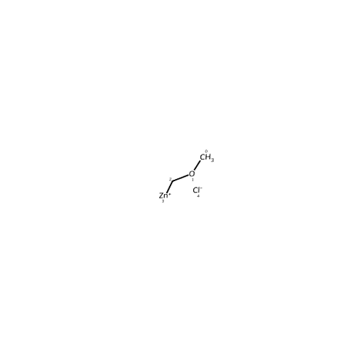 CO[CH2][Zn+].[Cl-]